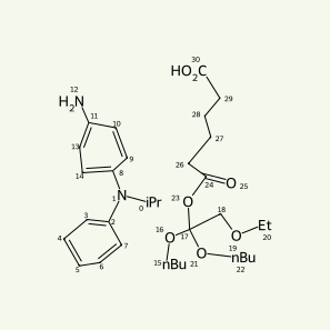 CC(C)N(c1ccccc1)c1ccc(N)cc1.CCCCOC(COCC)(OCCCC)OC(=O)CCCCC(=O)O